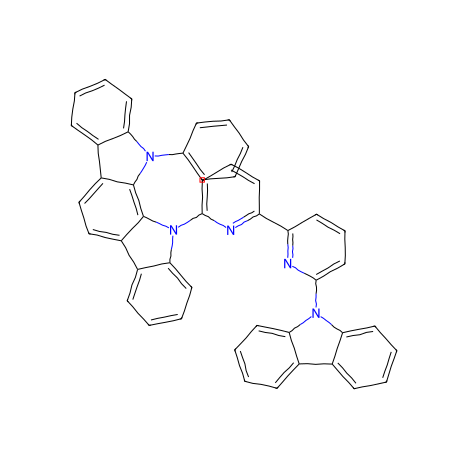 c1ccc(-n2c3ccccc3c3ccc4c5ccccc5n(-c5cccc(-c6cccc(-n7c8ccccc8c8ccccc87)n6)n5)c4c32)cc1